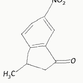 CC1CC(=O)c2cc([N+](=O)[O-])ccc21